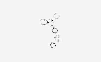 O=C(Nc1ccc(-c2nc(N3CCSCC3)nc(N3C4CCC3COC4)n2)cc1)Nc1cccnc1